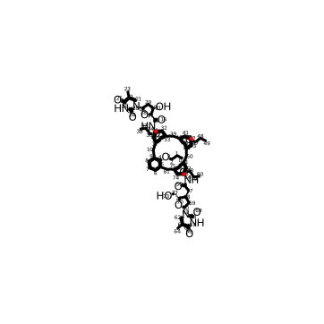 CCCOc1c2cccc1Cc1cc(NC(=O)[C@H]3O[C@@H](n4cc(C)c(=O)[nH]c4=O)C[C@@H]3O)cc(c1OCCC)Cc1cccc(c1OCCC)Cc1cc(NC(=O)C[C@H]3C[C@H](n4cc(C)c(=O)[nH]c4=O)O[C@@H]3CO)cc(c1OCCC)C2